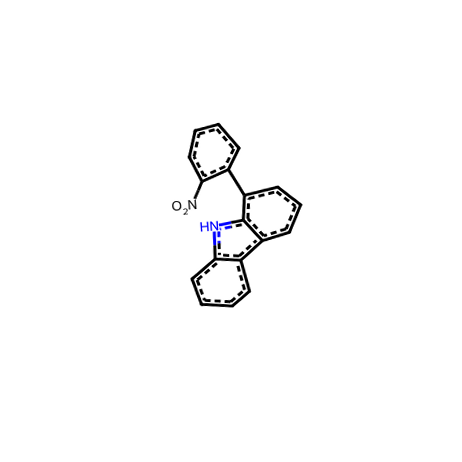 O=[N+]([O-])c1ccccc1-c1cccc2c1[nH]c1ccccc12